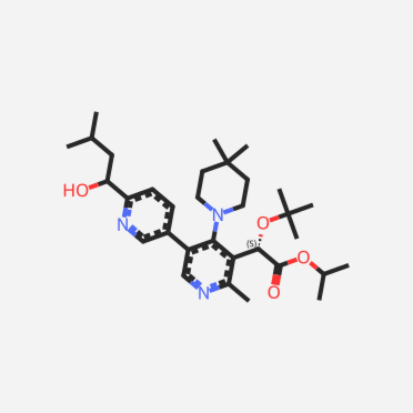 Cc1ncc(-c2ccc(C(O)CC(C)C)nc2)c(N2CCC(C)(C)CC2)c1[C@H](OC(C)(C)C)C(=O)OC(C)C